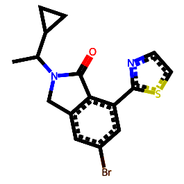 CC(C1CC1)N1Cc2cc(Br)cc(-c3nccs3)c2C1=O